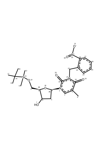 Cc1cn([C@H]2CC(O)[C@@H](CO[Si](C)(C)C(C)(C)C)O2)c(=O)n(Cc2ccccc2[N+](=O)[O-])c1=O